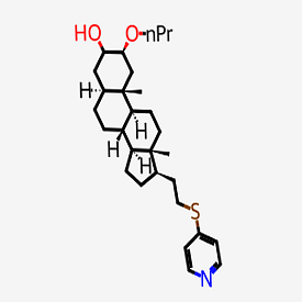 CCCO[C@H]1C[C@@]2(C)[C@@H](CC[C@@H]3[C@@H]2CC[C@]2(C)[C@@H](CCSc4ccncc4)CC[C@@H]32)CC1O